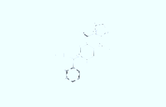 N[C@@H]1CCN(C(C=O)c2ccccc2)C[C@@H]1C(=O)N1CCSC1